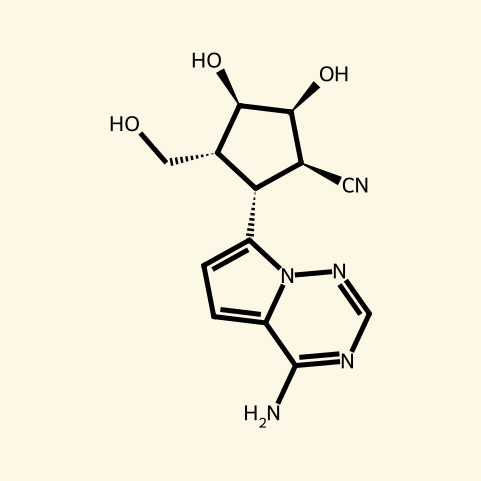 N#C[C@@H]1[C@H](O)[C@H](O)[C@@H](CO)[C@H]1c1ccc2c(N)ncnn12